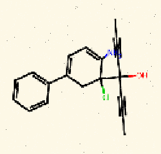 CC#CC(O)(C#CC)C1(Cl)CC(c2ccccc2)=CC=C1N